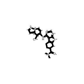 CN(C)C(=O)C1CCc2c(sc3ncnc(Nc4ccn5nccc5c4Cl)c23)C1